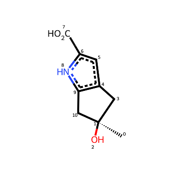 C[C@@]1(O)Cc2cc(C(=O)O)[nH]c2C1